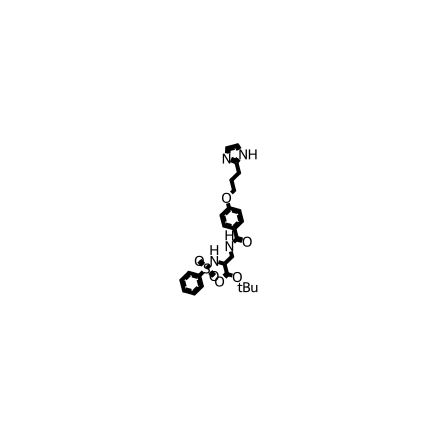 CC(C)(C)OC(=O)C(CNC(=O)c1ccc(OCCCc2ncc[nH]2)cc1)NS(=O)(=O)c1ccccc1